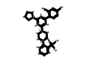 Fc1ccc(-c2nc(N3CCCC3)nc(N3CCN(c4ncccc4C(F)(F)F)CC3)n2)c(F)c1